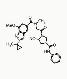 COc1cc(C(=O)N(C)CC(=O)N2CC(C(=O)Nc3ccccc3)CC2C#N)cc2cn(C3(C)CC3)nc12